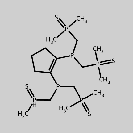 C[PH](=S)CP(CP(C)(C)=S)C1=C(P(CP(C)(C)=S)CP(C)(C)=S)CCC1